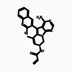 [2H]c1nc2ccccc2cc1-c1c2n(c3ncnc(N)c13)C[C@@H](NC(=O)C=C)C=C2C